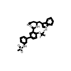 CS(=O)(=O)Nc1cccc(-c2ccc(OC(F)(F)F)c(C(=O)NC(CC#N)Cc3c[nH]c4ccccc34)c2)c1